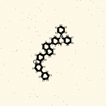 CC1CC(c2cccc3c(-c4ccc5oc6ccc(-c7ccccc7)cc6c5c4)cccc23)=CC=C1N(c1ccccc1)c1ccccc1